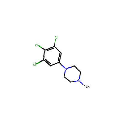 CCN1CCN(c2cc(Cl)c(Cl)c(Cl)c2)CC1